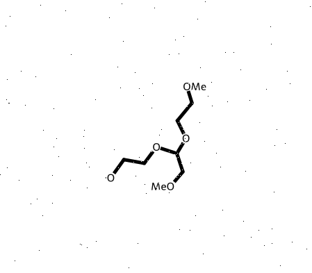 COCCOC(COC)OCC[O]